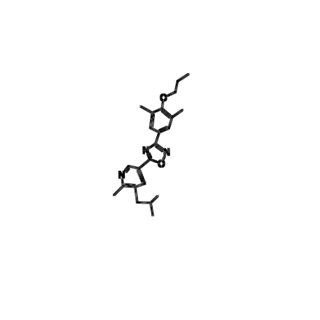 CCCOc1c(C)cc(-c2noc(-c3cnc(C)c(CC(C)C)c3)n2)cc1C